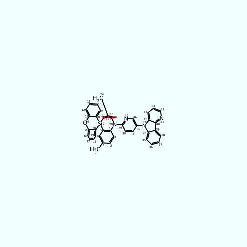 Cc1ccc2c(c1)[Si]1(c3ccccc3Oc3ccccc31)c1cc(C)ccc1N2c1ccc(-n2c3ccccc3c3ncccc32)cn1